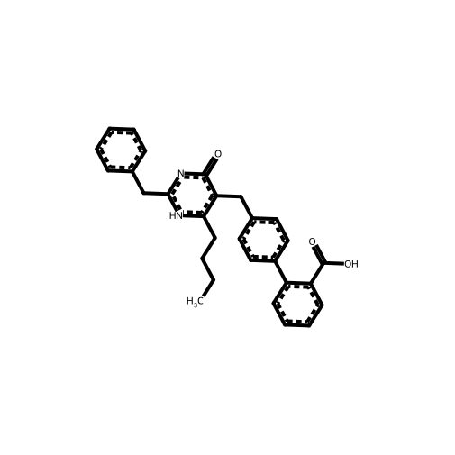 CCCCc1[nH]c(Cc2ccccc2)nc(=O)c1Cc1ccc(-c2ccccc2C(=O)O)cc1